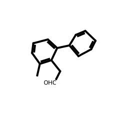 Cc1cccc(-c2ccccc2)c1CC=O